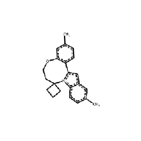 Cc1ccc2c(c1)OCCC1(CCC1)n1c-2cc2cc(C)ccc21